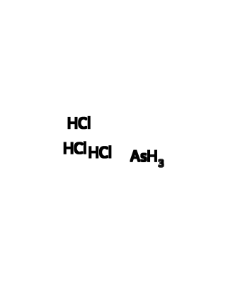 Cl.Cl.Cl.[AsH3]